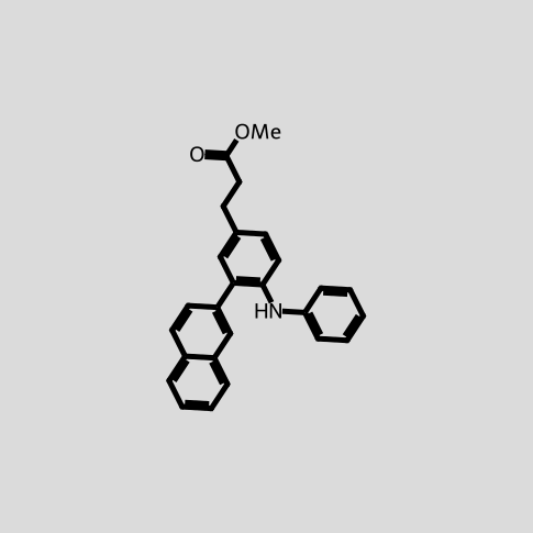 COC(=O)CCc1ccc(Nc2ccccc2)c(-c2ccc3ccccc3c2)c1